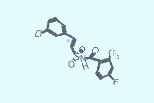 O=C(NS(=O)(=O)/C=C/c1cccc(Cl)c1)c1ccc(F)cc1C(F)(F)F